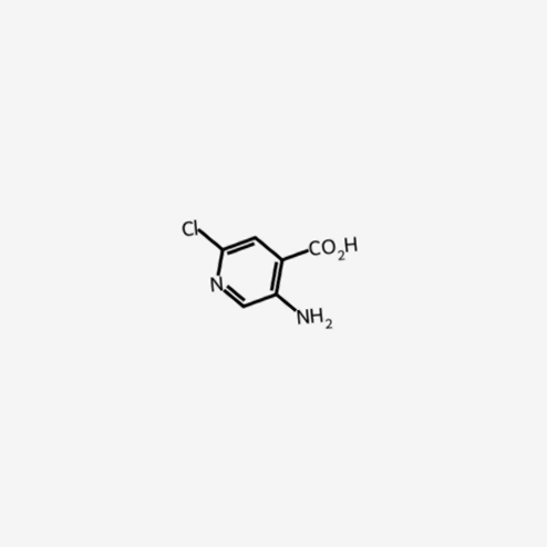 Nc1cnc(Cl)cc1C(=O)O